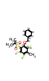 Cc1c(F)c(F)c(S(=O)(=O)C(C)C)c(OCc2ccccc2)c1F